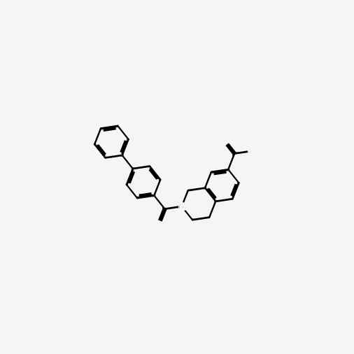 O=C(O)c1ccc2c(c1)CN(C(=O)c1ccc(-c3ccccc3)cc1)CC2